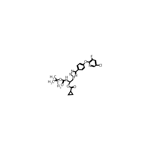 CC(C)(C)OC(=O)NC(Cn1nnc(-c2ccc(Oc3ncc(Cl)cc3F)cc2)n1)OC(=O)C1CC1